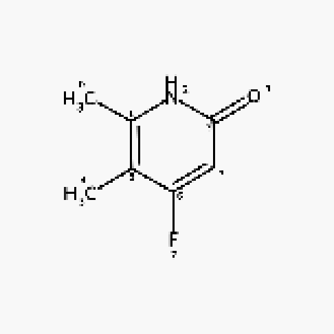 Cc1[nH]c(=O)cc(F)c1C